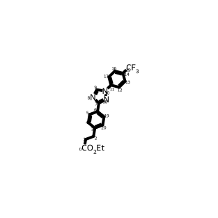 CCOC(=O)CCc1ccc(-c2ncn(-c3ccc(C(F)(F)F)cc3)n2)cc1